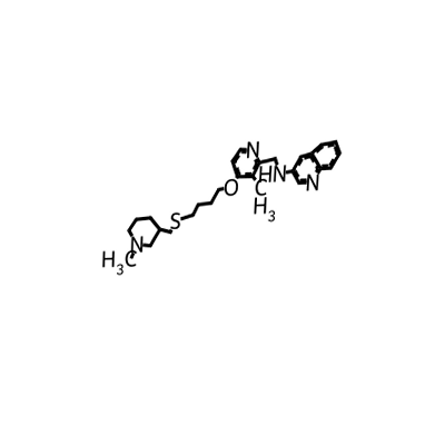 Cc1c(OCCCCSCC2CCCN(C)C2)ccnc1CNc1cnc2ccccc2c1